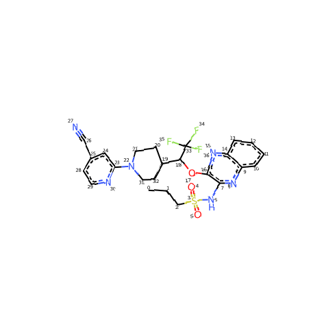 CCCS(=O)(=O)Nc1nc2ccccc2nc1OC(C1CCN(c2cc(C#N)ccn2)CC1)C(F)(F)F